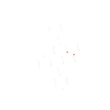 C(=NN(c1ccccc1)c1ccccc1)c1ccccc1N(c1ccccc1)c1ccccc1